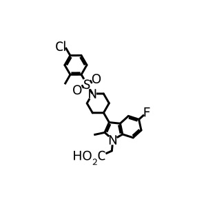 Cc1cc(Cl)ccc1S(=O)(=O)N1CCC(c2c(C)n(CC(=O)O)c3ccc(F)cc23)CC1